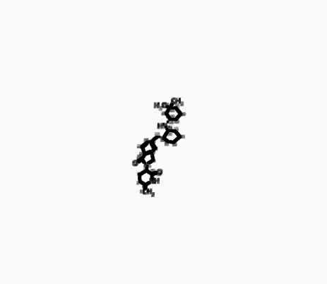 C=C1CCC(N2Cc3cc(C[C@H]4CCCC[C@@H]4N[C@H]4CCCC(C)(C)C4)ccc3C2=O)C(=O)N1